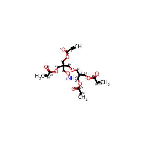 C#CC(=O)OCC(CON)(COCC(COC(=O)C=C)COC(=O)C=C)COC(=O)C=C